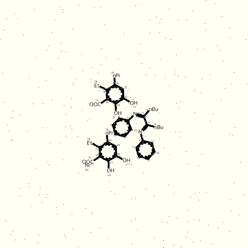 CCCCC(=Nc1ccccc1)C(CCCC)=Nc1ccccc1.CCCc1cc(O)c(O)c(C(=O)[O-])c1CC.CCCc1cc(O)c(O)c(C(=O)[O-])c1CC.[Ni+2]